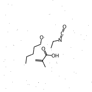 C=C(C)C(=O)O.CCCCC[O].CCN=C=O